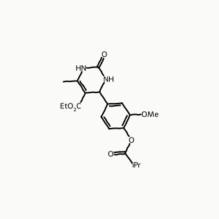 CCOC(=O)C1=C(C)NC(=O)NC1c1ccc(OC(=O)C(C)C)c(OC)c1